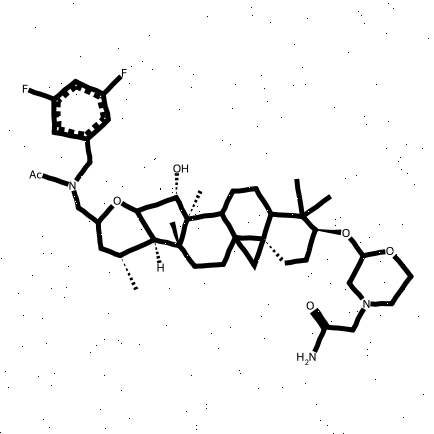 CC(=O)N(Cc1cc(F)cc(F)c1)CC1C[C@@H](C)[C@H]2C(O1)[C@H](O)[C@@]1(C)C3CCC4C(C)(C)[C@@H](OC5CN(CC(N)=O)CCO5)CC[C@@]45CC35CC[C@]21C